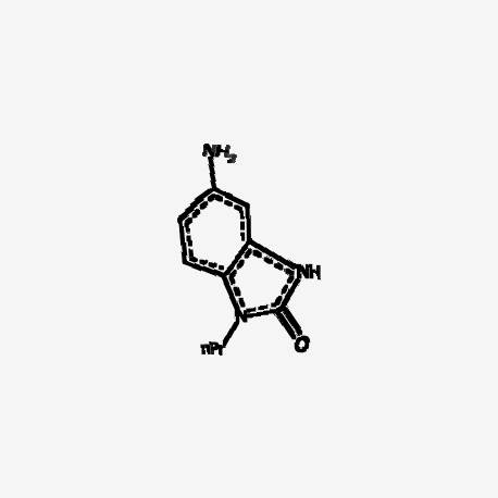 CCCn1c(=O)[nH]c2cc(N)ccc21